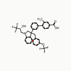 Cc1cc(C(=O)O)ccc1-c1cccc(C2(Cc3cccc(OC(F)(F)F)c3)CN(C[C@@H](O)C(F)(F)F)c3ccccc32)c1